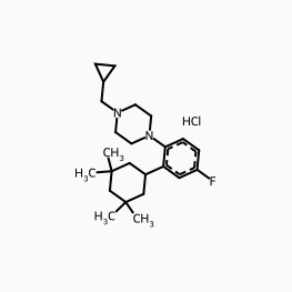 CC1(C)CC(c2cc(F)ccc2N2CCN(CC3CC3)CC2)CC(C)(C)C1.Cl